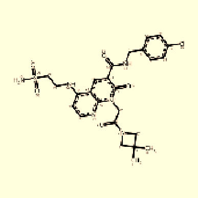 CC1(C)CN(C(=O)Cn2c(=O)c(C(=O)NCc3ccc(Cl)cc3)cc3c(NCCS(N)(=O)=O)ccnc32)C1